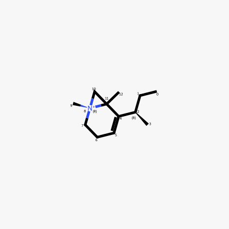 CC[C@@H](C)C1=CCC[N@+]2(C)CC12C